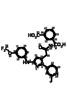 Cc1cc(-n2nc(Nc3cccc(OC(F)(F)F)c3)cc2CC(N)=O)ccn1.O=C(O)c1cccc(C(=O)O)c1